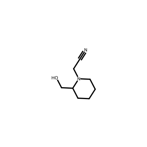 N#CCN1CCCCC1CO